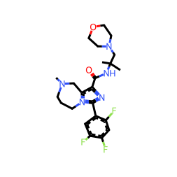 CN1CCCn2c(-c3cc(F)c(F)cc3F)nc(C(=O)NC(C)(C)CN3CCOCC3)c2C1